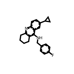 Fc1ccc(CNc2c3c(nc4ccc(C5CC5)cc24)CCCC3)cc1